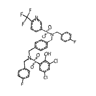 O=S(=O)(c1ccc(C(F)(F)F)nc1)N(Cc1ccc(F)cc1)Cc1ccc(CN(Cc2ccc(F)cc2)S(=O)(=O)c2cc(Cl)cc(Cl)c2O)cc1